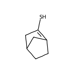 SC1=C2CCC(C1)C2